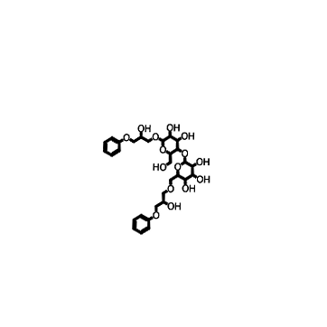 OCC1OC(OCC(O)COc2ccccc2)C(O)C(O)C1OC1OC(COCC(O)COc2ccccc2)C(O)C(O)C1O